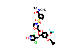 CN(C)C(=O)c1cccc(S(=O)(=O)N2CCOC(C(=O)O[C@@H](Cc3c(Cl)c[n+]([O-])cc3Cl)c3ccc(OC(F)F)c(OCC4CC4)c3)C2)c1